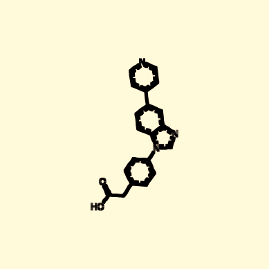 O=C(O)Cc1ccc(-n2cnc3cc(-c4ccncc4)ccc32)cc1